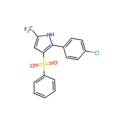 O=S(=O)(c1ccccc1)c1cc(C(F)(F)F)[nH]c1-c1ccc(Cl)cc1